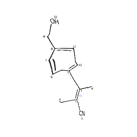 C/C(C#N)=C(/C)c1ccc(CO)cc1